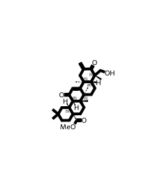 C=C1C[C@]2(C)C3=CC(=O)[C@@H]4[C@@H]5CC(C)(C)CC[C@]5(C(=O)OC)CC[C@@]4(C)[C@]3(C)CC[C@H]2[C@@](C)(CO)C1=O